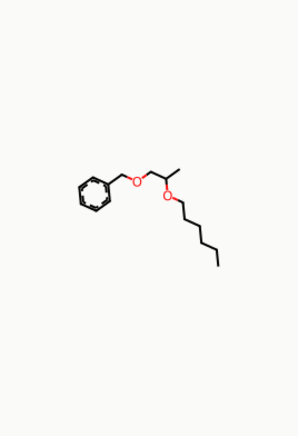 CCCCCCOC(C)COCc1ccccc1